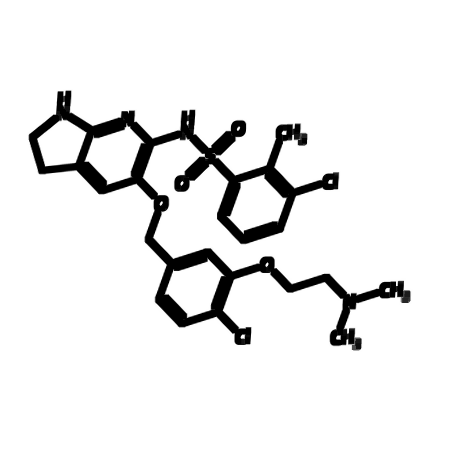 Cc1c(Cl)cccc1S(=O)(=O)Nc1nc2c(cc1OCc1ccc(Cl)c(OCCN(C)C)c1)CCN2